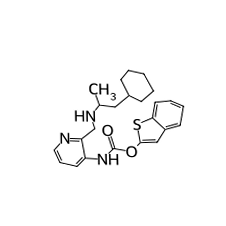 CC(CC1CCCCC1)NCc1ncccc1NC(=O)Oc1cc2ccccc2s1